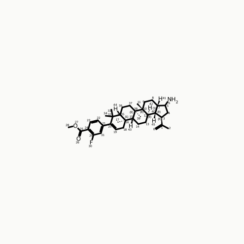 C=C(C)[C@@H]1CC(N)[C@H]2CC[C@]3(C)[C@H](CC[C@@H]4[C@@]5(C)CC=C(c6ccc(C(=O)OC)c(F)c6)C(C)(C)[C@@H]5CC[C@]43C)[C@H]21